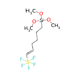 CO[Si](CCCCC=CS(F)(F)(F)(F)F)(OC)OC